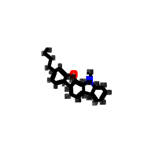 CCCCc1ccc2c(c1)oc1c2ccc2c3ccccc3n(C)c21